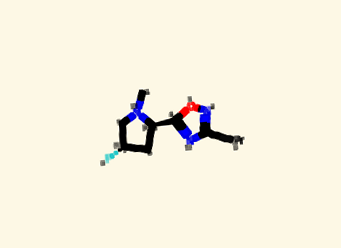 CC(C)c1noc([C@H]2C[C@H](F)CN2C)n1